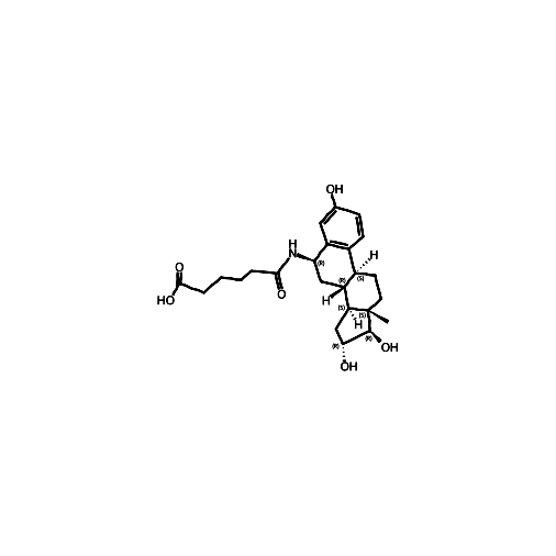 C[C@]12CC[C@@H]3c4ccc(O)cc4[C@H](NC(=O)CCCCC(=O)O)C[C@H]3[C@@H]1C[C@@H](O)[C@@H]2O